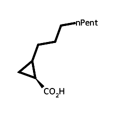 CCCCCCCCC1C[C@@H]1C(=O)O